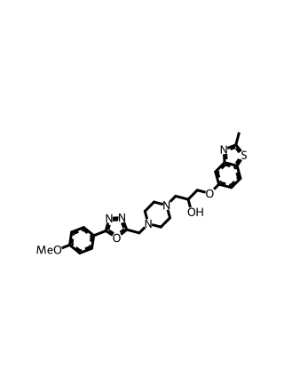 COc1ccc(-c2nnc(CN3CCN(CC(O)COc4ccc5sc(C)nc5c4)CC3)o2)cc1